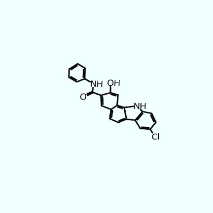 O=C(Nc1ccccc1)c1cc2ccc3c4cc(Cl)ccc4[nH]c3c2cc1O